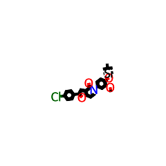 COc1cc(-n2ccc3oc(-c4ccc(Cl)cc4)cc3c2=O)ccc1O[Si](C)(C)C(C)(C)C